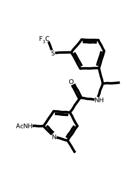 CC(=O)Nc1cc(C(=O)NC(C)c2cccc(SC(F)(F)F)c2)cc(C)n1